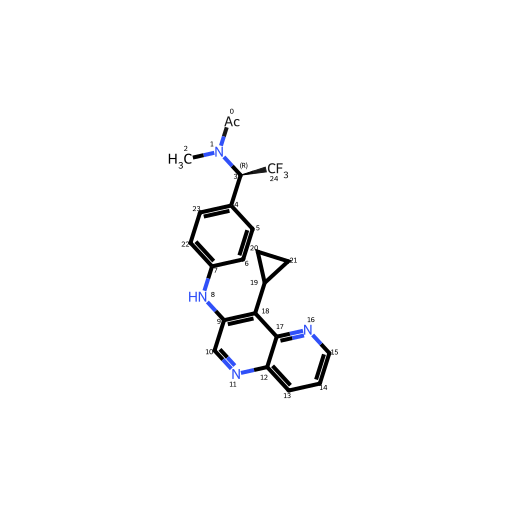 CC(=O)N(C)[C@H](c1ccc(Nc2cnc3cccnc3c2C2CC2)cc1)C(F)(F)F